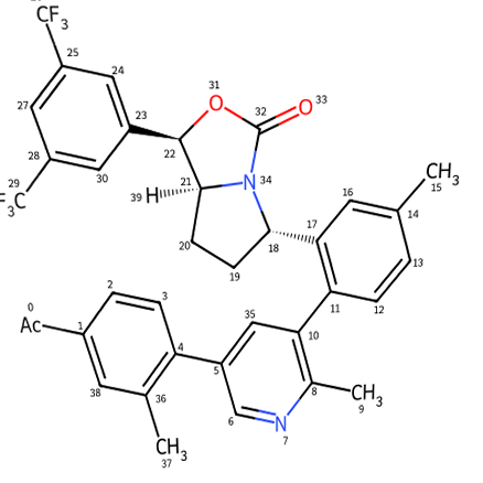 CC(=O)c1ccc(-c2cnc(C)c(-c3ccc(C)cc3[C@@H]3CC[C@H]4[C@@H](c5cc(C(F)(F)F)cc(C(F)(F)F)c5)OC(=O)N34)c2)c(C)c1